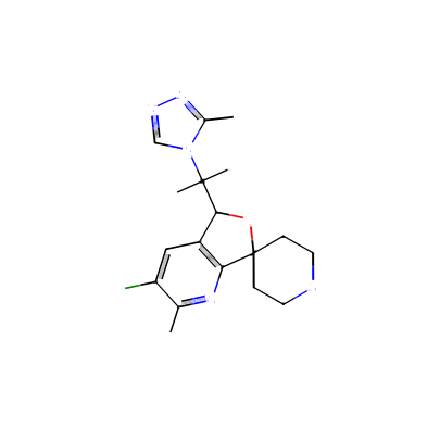 Cc1nc2c(cc1Cl)C(C(C)(C)n1cnnc1C)OC21CCNCC1